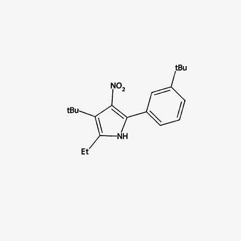 CCc1[nH]c(-c2cccc(C(C)(C)C)c2)c([N+](=O)[O-])c1C(C)(C)C